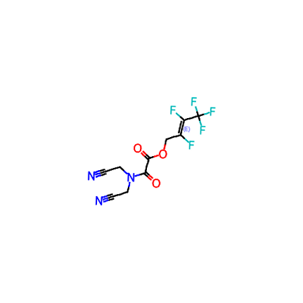 N#CCN(CC#N)C(=O)C(=O)OC/C(F)=C(\F)C(F)(F)F